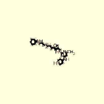 Cc1cc(NC2CCNCC2)nc(NCc2cc(CCCNCCCNC3CCCCC3)on2)n1